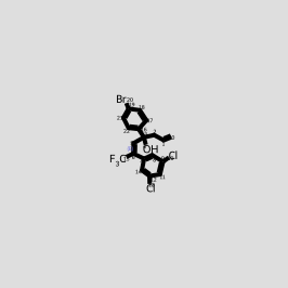 C=CCC(O)(/C=C(\c1cc(Cl)cc(Cl)c1)C(F)(F)F)c1ccc(Br)cc1